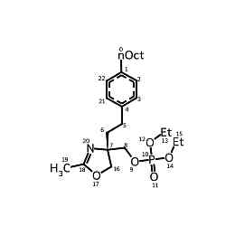 CCCCCCCCc1ccc(CC[C@@]2(COP(=O)(OCC)OCC)COC(C)=N2)cc1